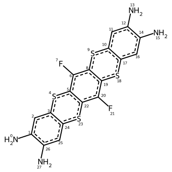 Nc1cc2sc3c(F)c4sc5cc(N)c(N)cc5sc4c(F)c3sc2cc1N